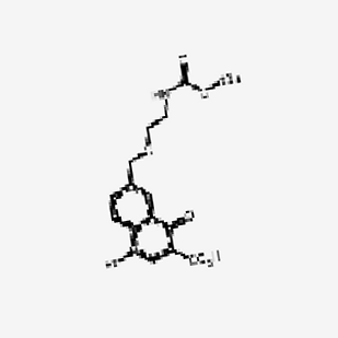 CCn1cc(C(=O)O)c(=O)c2cc(COCCNC(=O)OC(C)(C)C)ccc21